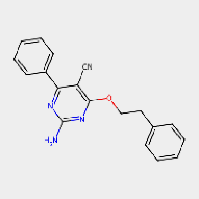 N#Cc1c(OCCc2ccccc2)nc(N)nc1-c1ccccc1